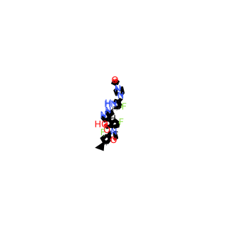 O=C1C2=C(C[C@@H](C3CC3)C=C2F)OCCN1C1=CC(F)CC(C2=CC=NC3NC([C@H]4CC(F)=C(CN5CCN(C6COC6)CC5)CN4)=C[C@H]23)=C1CO